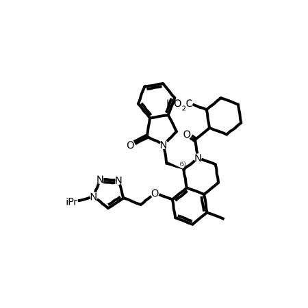 Cc1ccc(OCc2cn(C(C)C)nn2)c2c1CCN(C(=O)C1CCCCC1C(=O)O)[C@@H]2CN1Cc2ccccc2C1=O